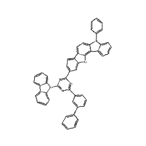 c1ccc(-c2cccc(-c3nc(-c4ccc5c(c4)oc4c5ccc5c4c4ccccc4n5-c4ccccc4)nc(-n4c5ccccc5c5ccccc54)n3)c2)cc1